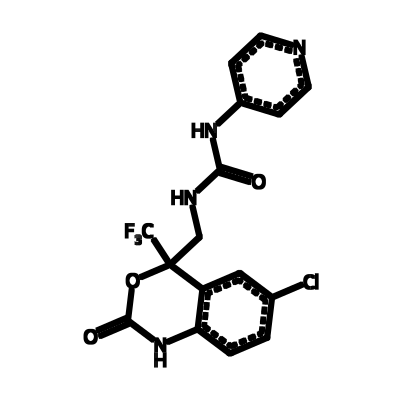 O=C(NCC1(C(F)(F)F)OC(=O)Nc2ccc(Cl)cc21)Nc1ccncc1